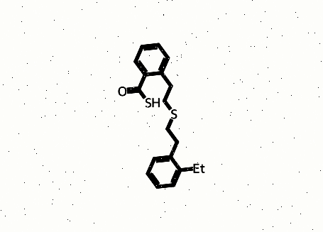 CCc1ccccc1CCSCCc1ccccc1C(=O)S